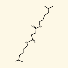 CC(C)CCCCNC(=O)CCC(=O)NCCCCC(C)C